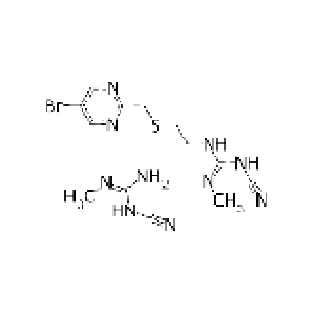 CN=C(N)NC#N.CN=C(NC#N)NCCSCc1ncc(Br)cn1